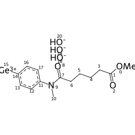 COC(=O)CCCCC(=O)N(C)c1cc[c]([Ge+3])cc1.[OH-].[OH-].[OH-]